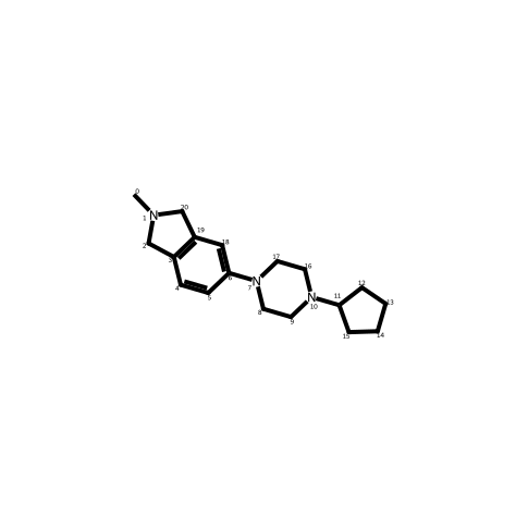 CN1Cc2ccc(N3CCN(C4CCCC4)CC3)cc2C1